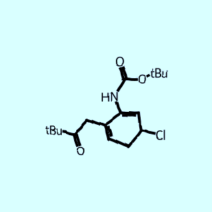 CC(C)(C)OC(=O)NC1=CC(Cl)CC=C1CC(=O)C(C)(C)C